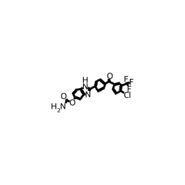 NC(=O)Oc1ccc2[nH]c(-c3ccc(C(=O)c4ccc(Cl)c(C(F)(F)F)c4)cc3)nc2c1